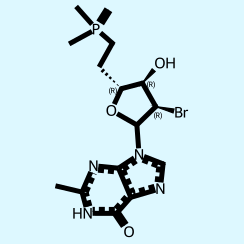 C=P(C)(C)CC[C@H]1OC(n2cnc3c(=O)[nH]c(C)nc32)[C@H](Br)[C@@H]1O